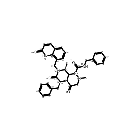 C[C@H]1C2N(C(=O)CN(C)N2C(=O)NCc2ccccc2)[C@@H](Cc2cc[c]cc2)C(=O)N1Cc1cccc2ccc(=O)[nH]c12